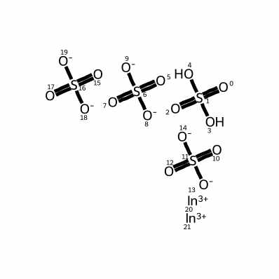 O=S(=O)(O)O.O=S(=O)([O-])[O-].O=S(=O)([O-])[O-].O=S(=O)([O-])[O-].[In+3].[In+3]